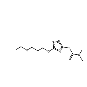 CCOCCCOc1nc(SC(=O)N(C)C)ns1